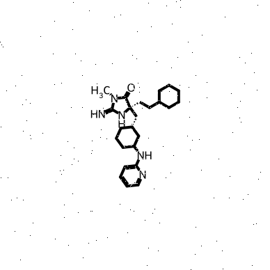 CN1C(=N)N[C@](CCC2CCCCC2)(C[C@H]2CCCC(Nc3ccccn3)C2)C1=O